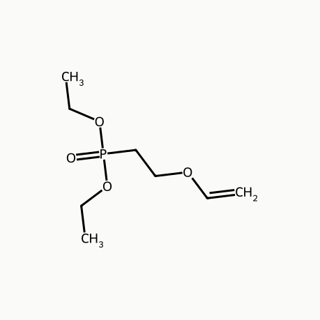 C=COCCP(=O)(OCC)OCC